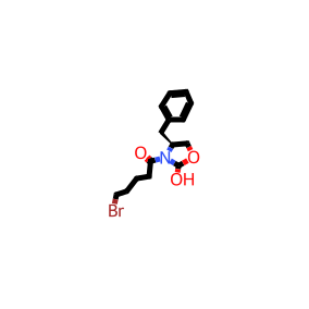 O=C(CCCCBr)N1C(O)OC[C@@H]1Cc1ccccc1